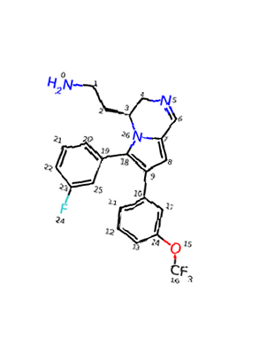 NCC[C@H]1CN=Cc2cc(-c3cccc(OC(F)(F)F)c3)c(-c3cccc(F)c3)n21